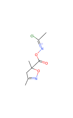 CC1=NOC(C)(C(=O)O/N=C(/C)Cl)C1